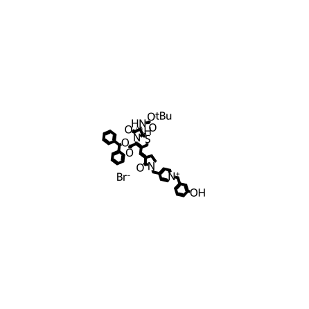 CC(C)(C)OC(=O)N[C@@H]1C(=O)N2C(C(=O)OC(c3ccccc3)c3ccccc3)=C(C=C3CCN(Cc4cc[n+](Cc5cccc(O)c5)cc4)C3=O)CS[C@H]12.[Br-]